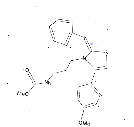 COC(=O)NCCCn1c(-c2ccc(OC)cc2)cs/c1=N/c1ccccc1